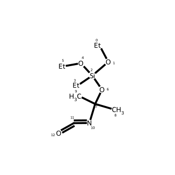 CCO[Si](CC)(OCC)OC(C)(C)N=C=O